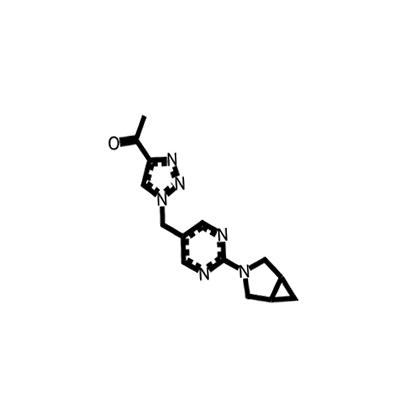 CC(=O)c1cn(Cc2cnc(N3CC4CC4C3)nc2)nn1